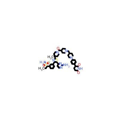 CCC(c1cccc(-c2nc(C3(C)CCN(C(=O)C4CCN(CC5CCN(c6ccc(C7CCC(=O)NC7=O)cc6)CC5)CC4)CC3)sc2-c2ccnc(N)n2)c1F)S(N)(=O)=O